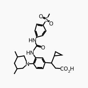 CC1CC(C)CN(c2ccc(C(CC(=O)O)C3CC3)cc2NC(=O)Nc2ccc(S(C)(=O)=O)cc2)C1